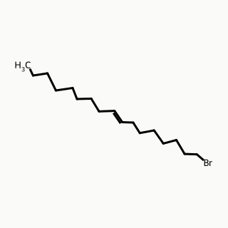 CCCCCCCC/C=C/CCCCCCCBr